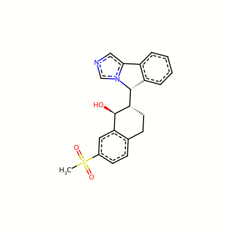 CS(=O)(=O)c1ccc2c(c1)[C@@H](O)[C@H]([C@H]1c3ccccc3-c3cncn31)CC2